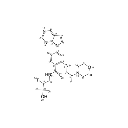 CC(CNc1cc(-n2ccc3cncnc32)ncc1C(=O)NCC(F)C(C)(C)O)N1CCOCC1